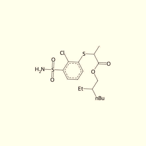 CCCCC(CC)COC(=O)C(C)Sc1cccc(S(N)(=O)=O)c1Cl